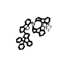 CC12CC3(C)c4ccccc4-c4ccc(cc43)N(c3cccc4c3oc3c(-c5ccc6c(c5)C(c5ccccc5)(c5ccccc5)c5ccccc5-6)cccc34)c3ccc(c1c3)-c1ccccc12